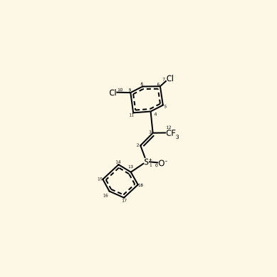 [O-][S+](/C=C(/c1cc(Cl)cc(Cl)c1)C(F)(F)F)c1ccccc1